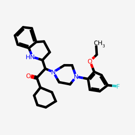 CCOc1cc(F)ccc1N1CCN(C(C(=O)C2CCCCC2)C2CCc3ccccc3N2)CC1